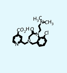 CN(C)CCN1C(=O)CN(Cc2cc(C(=O)O)ccn2)Cc2cccc(Cl)c21